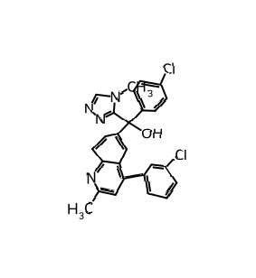 Cc1cc(-c2cccc(Cl)c2)c2cc(C(O)(c3ccc(Cl)cc3)c3nncn3C)ccc2n1